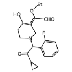 CCOC(C=O)=C1CN(C(C(=O)C2CC2)c2ccccc2F)CCC1O